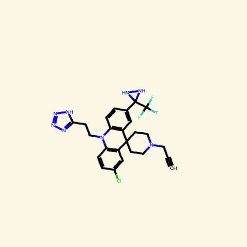 C#CCN1CCC2(CC1)c1cc(Cl)ccc1N(CCc1nnn[nH]1)c1ccc(C3(C(F)(F)F)NN3)cc12